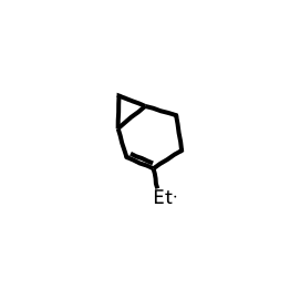 C[CH]C1=CC2CC2CC1